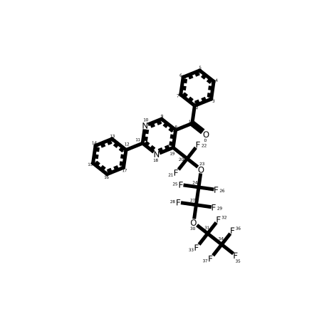 O=C(c1ccccc1)c1cnc(-c2ccccc2)nc1C(F)(F)OC(F)(F)C(F)(F)OC(F)(F)C(F)(F)F